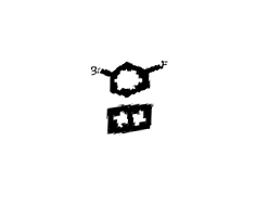 Fc1cccc(Br)c1.c1cc2ccc1-2